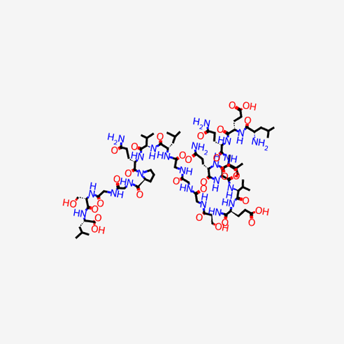 CC(C)C[C@H](NC(=O)[C@H](CO)NC(=O)CNC(=O)CNC(=O)[C@@H]1CCCN1C(=O)[C@H](CCC(N)=O)NC(=O)[C@@H](NC(=O)[C@H](CC(C)C)NC(=O)CNC(=O)CNC(=O)CNC(=O)[C@H](CO)NC(=O)[C@H](CCC(=O)O)NC(=O)[C@@H](NC(=O)[C@H](CC(C)C)NC(=O)[C@H](CCC(N)=O)NC(=O)[C@@H](NC(=O)[C@H](CCC(N)=O)NC(=O)[C@H](CCC(=O)O)NC(=O)[C@@H](N)CC(C)C)C(C)C)C(C)C)C(C)C)C(=O)O